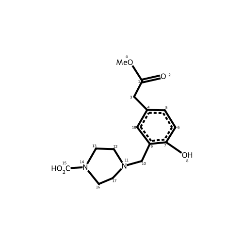 COC(=O)Cc1ccc(O)c(CN2CCN(C(=O)O)CC2)c1